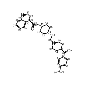 COc1ccc(C(=O)C2CCN(CC[C@H]3CC[C@H](NC(=O)c4ccnc5ccccc45)CC3)CC2)cc1